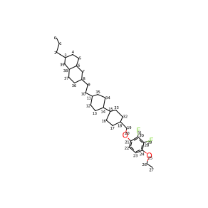 CCCC1CCC2CC(CCC3CCC(C4CCC(COc5ccc(OCC)c(F)c5F)CC4)CC3)CCC2C1